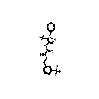 O=C(NCCc1cccc(C(F)(F)F)c1)Oc1cnn(-c2ccccc2)c1C(F)(F)F